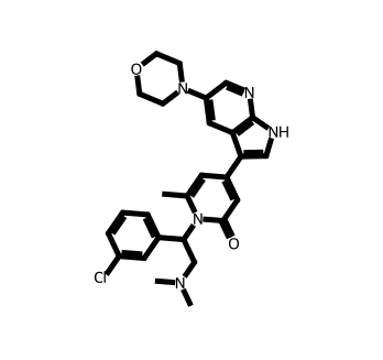 Cc1cc(-c2c[nH]c3ncc(N4CCOCC4)cc23)cc(=O)n1C(CN(C)C)c1cccc(Cl)c1